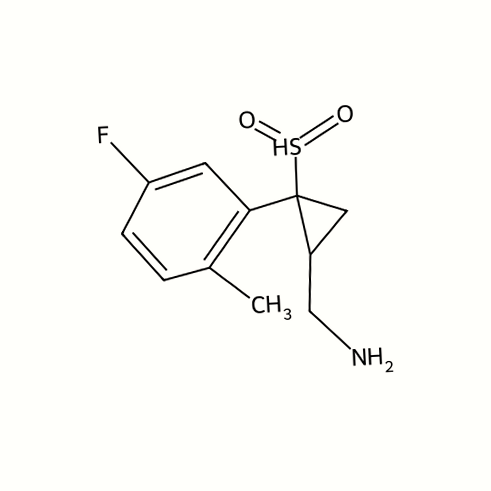 Cc1ccc(F)cc1C1([SH](=O)=O)CC1CN